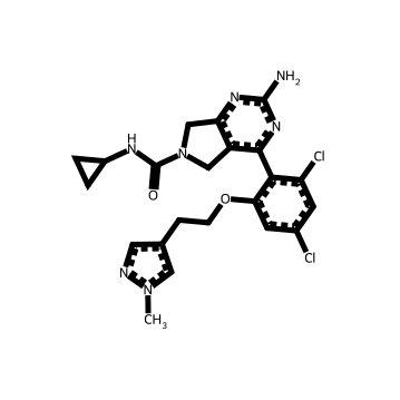 Cn1cc(CCOc2cc(Cl)cc(Cl)c2-c2nc(N)nc3c2CN(C(=O)NC2CC2)C3)cn1